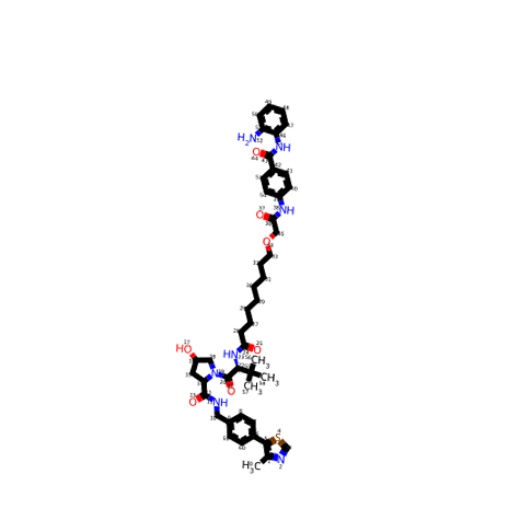 Cc1ncsc1-c1ccc(CNC(=O)C2CC(O)CN2C(=O)[C@@H](NC(=O)CCCCCCCCOCC(=O)Nc2ccc(C(=O)Nc3ccccc3N)cc2)C(C)(C)C)cc1